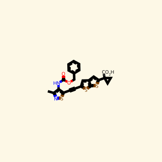 Cc1nsc(C#Cc2cc3cc(C4(C(=O)O)CC4)sc3s2)c1NC(=O)OCc1ccccc1